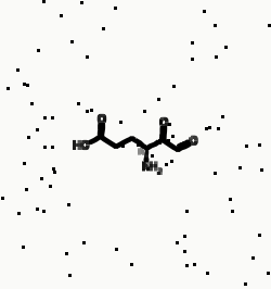 N[C@@H](CCC(=O)O)C(=O)C=O